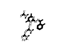 C/C(=N/N=c1\nc(C)cc(C)[nH]1)c1ccccc1C.CN(C)C(=S)[S-].CN(C)C(=S)[S-].CN(C)C(=S)[S-].[Fe+3]